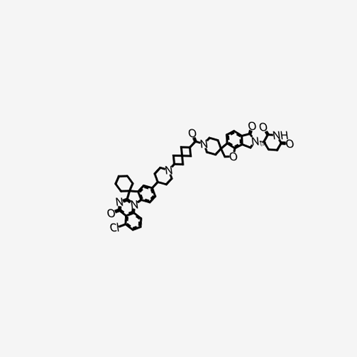 O=C1CC[C@H](N2Cc3c(ccc4c3OCC43CCN(C(=O)C4CC5(C4)CC(N4CCC(c6ccc7c(c6)C6(CCCCC6)c6nc(=O)c8c(Cl)cccc8n6-7)CC4)C5)CC3)C2=O)C(=O)N1